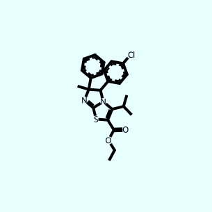 CCOC(=O)C1=C(C(C)C)N2C(=NC(C)(c3ccccc3)C2c2ccc(Cl)cc2)S1